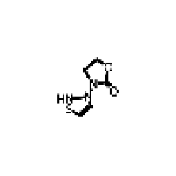 O=C1OCCN1N1C=CSN1